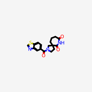 O=C1CCCC2(CCN(C(=O)c3ccc4scnc4c3)C2)C(=O)N1